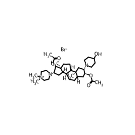 CC(=O)O[C@H]1C[C@@H]2CC[C@@H]3[C@H](CC[C@@]4(C)[C@H]3C[C@H](N3CC[N+](C)(C)CC3)[C@@H]4OC(C)=O)[C@@]2(C)C[C@@H]1N1CCC(O)CC1.[Br-]